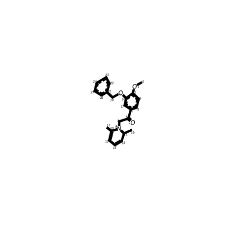 COc1ccc(C(=O)CN2C(C)=CC=CC2C)cc1OCc1ccccc1